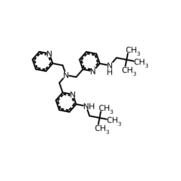 CC(C)(C)CNc1cccc(CN(Cc2ccccn2)Cc2cccc(NCC(C)(C)C)n2)n1